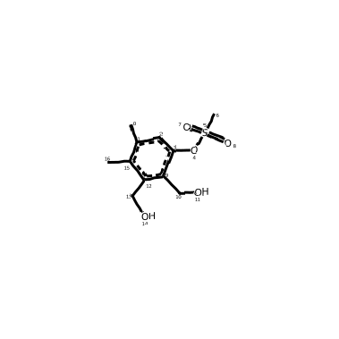 Cc1cc(OS(C)(=O)=O)c(CO)c(CO)c1C